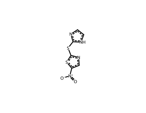 O=[N+]([O-])c1cnc(Sc2ncc[nH]2)s1